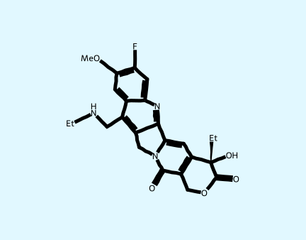 CCNCc1c2c(nc3cc(F)c(OC)cc13)-c1cc3c(c(=O)n1C2)COC(=O)[C@]3(O)CC